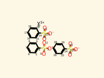 O=S(=O)([O-])c1ccccc1.O=S(=O)([O-])c1ccccc1.O=S(=O)([O-])c1ccccc1.[Y+3]